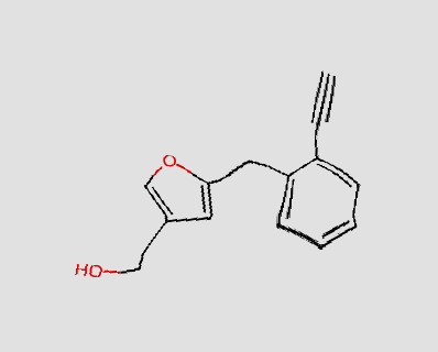 C#Cc1ccccc1Cc1cc(CO)co1